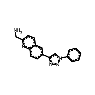 NCc1ccc2cc(-c3cn(-c4ccccc4)nn3)ccc2n1